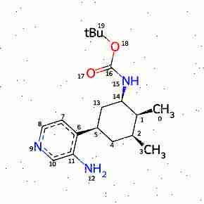 C[C@H]1[C@@H](C)C[C@@H](c2ccncc2N)C[C@H]1NC(=O)OC(C)(C)C